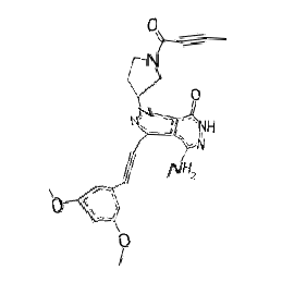 CC#CC(=O)N1CCC(n2nc(C#Cc3cc(OC)cc(OC)c3)c3c(N)n[nH]c(=O)c32)C1